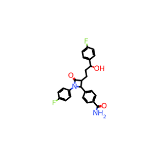 NC(=O)c1ccc(C2C(CCC(O)c3ccc(F)cc3)C(=O)N2c2ccc(F)cc2)cc1